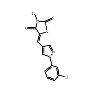 CCN1C(=O)/C(=C/c2cnn(-c3cccc(Cl)c3)c2)SC1=S